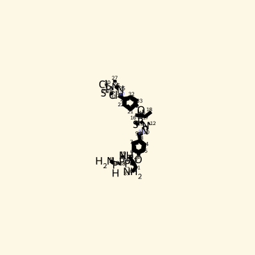 CCC(C)(Oc1ccc(/C=N/N(C)[PH](=S)C(C)(CC)Oc2ccc(/C=N/N(C)P(=S)(Cl)Cl)cc2)cc1)P(N)P(N)PN